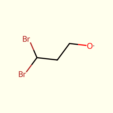 [O]CCC(Br)Br